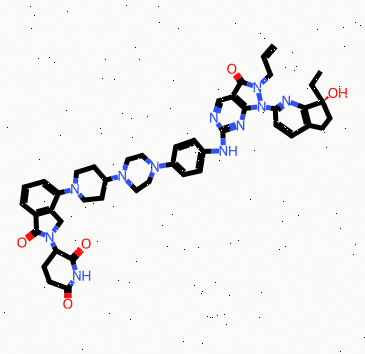 C=CCn1c(=O)c2cnc(Nc3ccc(N4CCN(C5CCN(c6cccc7c6CN(C6CCC(=O)NC6=O)C7=O)CC5)CC4)cc3)nc2n1-c1ccc2c(n1)[C@@](O)(CC)CC2